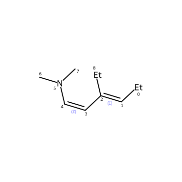 CC/C=C(/C=C\N(C)C)CC